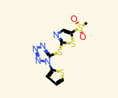 CS(=O)(=O)c1cnc(Sc2nnnn2-c2cccs2)s1